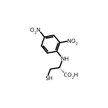 O=C(O)[C@H](CS)Nc1ccc([N+](=O)[O-])cc1[N+](=O)[O-]